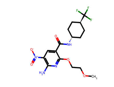 COCCOc1nc(N)c([N+](=O)[O-])cc1C(=O)N[C@H]1CC[C@H](C(F)(F)F)CC1